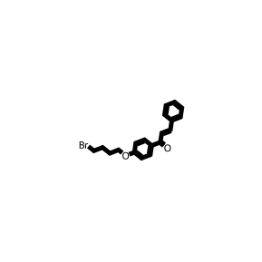 O=C(C=Cc1ccccc1)c1ccc(OCCCCBr)cc1